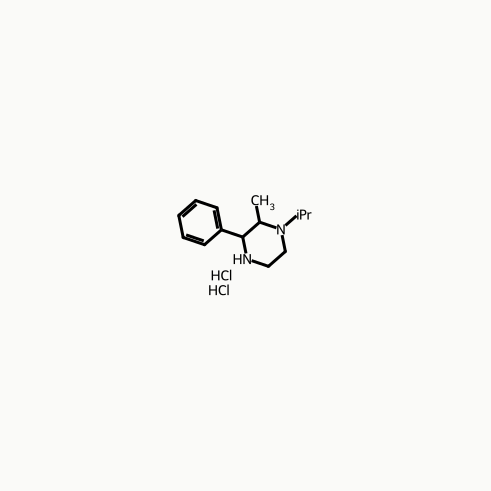 CC(C)N1CCNC(c2ccccc2)C1C.Cl.Cl